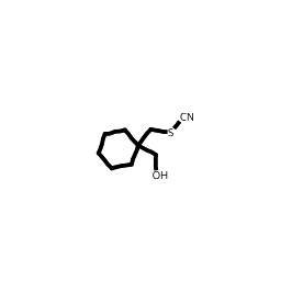 N#CSCC1(CO)CCCCC1